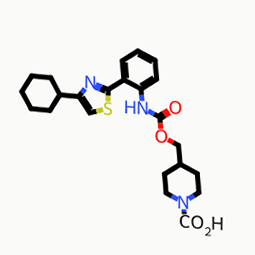 O=C(Nc1ccccc1-c1nc(C2CCCCC2)cs1)OCC1CCN(C(=O)O)CC1